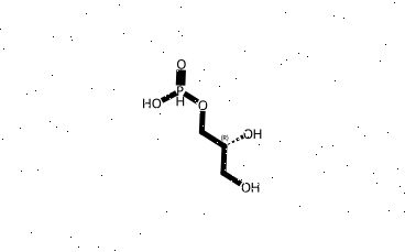 O=[PH](O)OC[C@H](O)CO